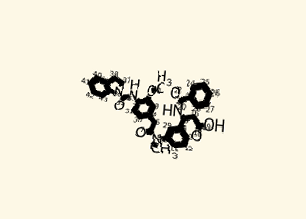 COc1cc(CC(=O)N(C)c2cccc(C(CC(=O)O)NC(=O)c3ccccc3)c2)ccc1NC(=O)N1CCc2ccccc21